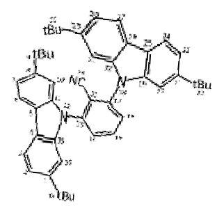 CC(C)(C)c1ccc2c3ccc(C(C)(C)C)cc3n(-c3cccc(-n4c5cc(C(C)(C)C)ccc5c5ccc(C(C)(C)C)cc54)c3C#N)c2c1